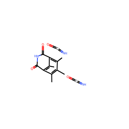 Cc1c(C)c2c(C)c(c1C)C(=O)NC2=O.N=C=O.N=C=O